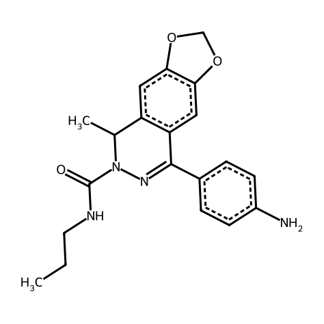 CCCNC(=O)N1N=C(c2ccc(N)cc2)c2cc3c(cc2C1C)OCO3